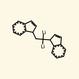 [Li][C]([Li])(CC1C=Cc2ccccc21)C1C=Cc2ccccc21